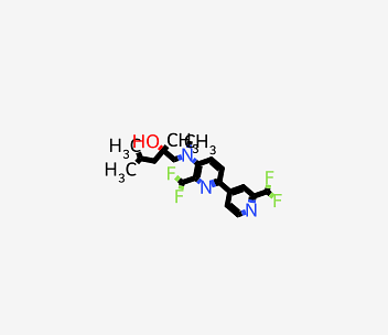 CC(C)CC(C)(O)CN(C)c1ccc(-c2ccnc(C(F)F)c2)nc1C(F)F